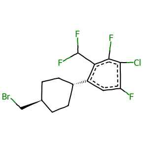 Fc1cc([C@H]2CC[C@H](CBr)CC2)c(C(F)F)c(F)c1Cl